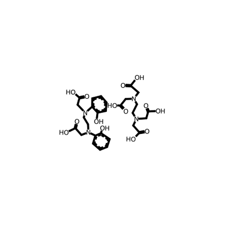 O=C(O)CN(CCN(CC(=O)O)CC(=O)O)CC(=O)O.O=C(O)CN(CCN(CC(=O)O)c1ccccc1O)c1ccccc1O